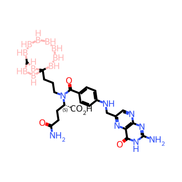 NC(=O)CC[C@@H](C(=O)O)N(CCCC12BBBBBBBC(BB1)B2)C(=O)c1ccc(NCc2cnc3nc(N)[nH]c(=O)c3n2)cc1